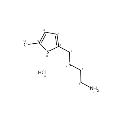 Cl.NCCSCc1ccc(Cl)s1